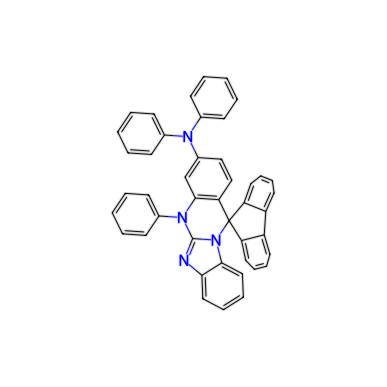 c1ccc(N(c2ccccc2)c2ccc3c(c2)N(c2ccccc2)c2nc4ccccc4n2C32c3ccccc3-c3ccccc32)cc1